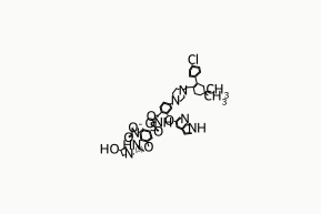 CC1(C)CCC(CN2CCN(c3ccc(C(=O)NS(=O)(=O)c4cc5c(c([N+](=O)[O-])c4)N[C@@H](CN4CC(O)C4)CO5)c(Oc4cnc5[nH]ccc5c4)c3)CC2)=C(c2ccc(Cl)cc2)C1